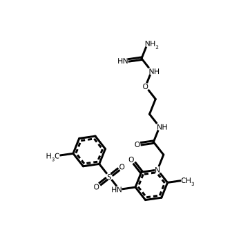 Cc1cccc(S(=O)(=O)Nc2ccc(C)n(CC(=O)NCCONC(=N)N)c2=O)c1